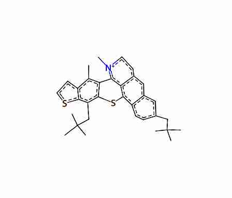 Cc1c2c(c(CC(C)(C)C)c3sccc13)Sc1c3ccc(CC(C)(C)C)cc3cc3cc[n+](C)c-2c13